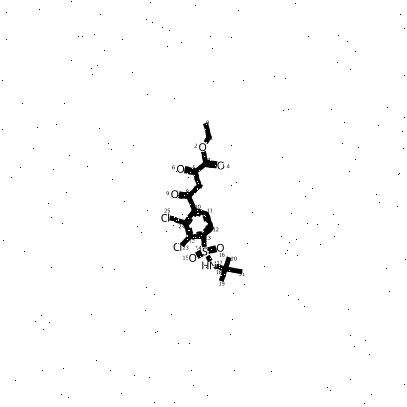 CCOC(=O)C(=O)CC(=O)c1ccc(S(=O)(=O)NC(C)(C)C)c(Cl)c1Cl